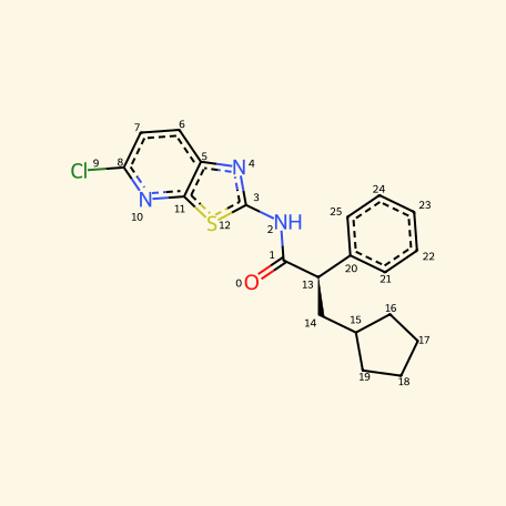 O=C(Nc1nc2ccc(Cl)nc2s1)[C@H](CC1CCCC1)c1ccccc1